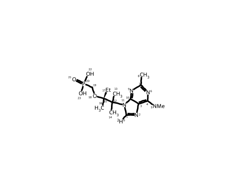 [2H]c1nc2c(NC)nc(C)nc2n1C(C)(C)[C@@](C)(CC)OCP(=O)(O)O